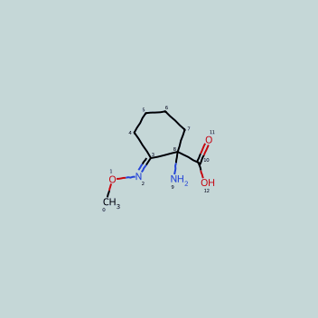 CON=C1CCCCC1(N)C(=O)O